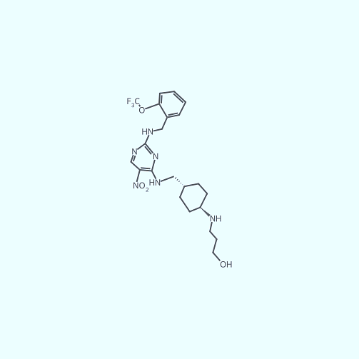 O=[N+]([O-])c1cnc(NCc2ccccc2OC(F)(F)F)nc1NC[C@H]1CC[C@H](NCCCO)CC1